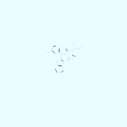 CCOc1ccc2[nH]c3c(c2c1)C[C@@]1(C)C(=O)N(C(Br)CBr)C(=O)N1[C@@H]3c1cccc(O)c1